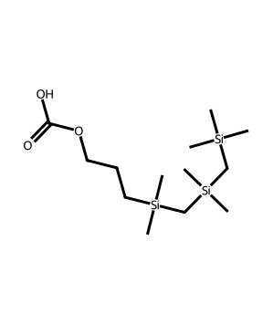 C[Si](C)(C)C[Si](C)(C)C[Si](C)(C)CCCOC(=O)O